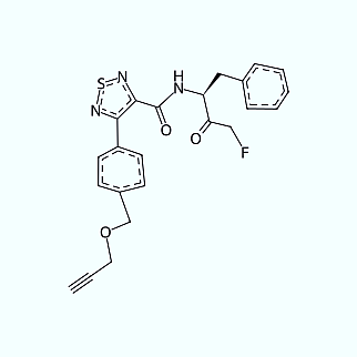 C#CCOCc1ccc(-c2nsnc2C(=O)N[C@@H](Cc2ccccc2)C(=O)CF)cc1